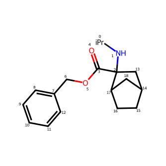 CC(C)NC1(C(=O)OCc2ccccc2)CC2CCC1C2